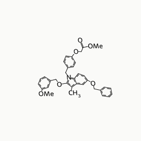 COC(=O)COc1ccc(Cn2c(OCc3cccc(OC)c3)c(C)c3cc(OCc4ccccc4)ccc32)cc1